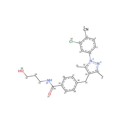 Cc1nn(-c2ccc(C#N)c(Cl)c2)c(C)c1Cc1ccc(C(=O)NCCCO)cc1